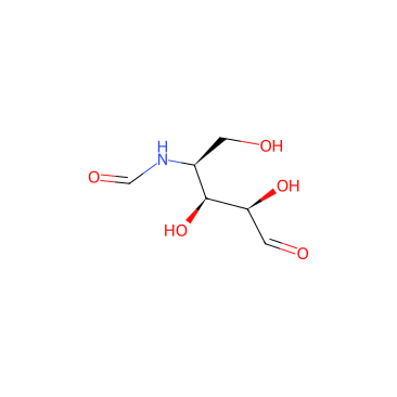 O=CN[C@@H](CO)[C@H](O)[C@@H](O)C=O